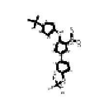 CC(C)(C)c1ccc(Oc2ccc(-c3ccc(OC(F)(F)F)cc3)cc2[N+](=O)[O-])cc1